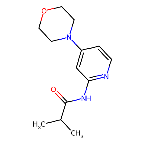 CC(C)C(=O)Nc1cc(N2CCOCC2)ccn1